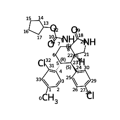 Cc1ccc([C@@H]2CC[C@@]3(NC(=O)OC4CCCC4)C(=O)NC[C@H]3[C@H]2c2ccc(Cl)cc2)c(Cl)c1